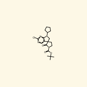 CC(C)(C)OC(=O)N1CCC2(CN(C3CCCC3)c3nc(Cl)ncc32)C1=O